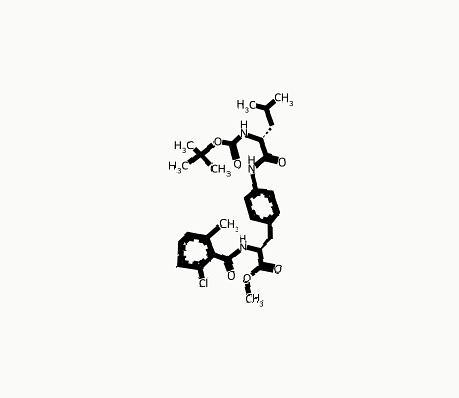 COC(=O)[C@H](Cc1ccc(NC(=O)[C@@H](CC(C)C)NC(=O)OC(C)(C)C)cc1)NC(=O)c1c(C)cccc1Cl